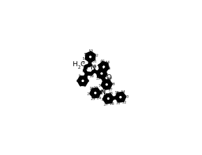 C=C1CC(c2ccccc2)=CC(c2cc3c4cc(N(c5ccccc5)c5cccc(-c6ccccc6)c5)ccc4oc3c3ccccc23)=NC1c1ccccc1